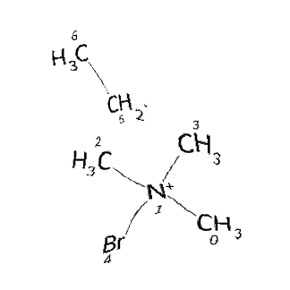 C[N+](C)(C)Br.[CH2]C